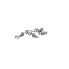 CC(C)(C)OC(=O)[C@@H](Cc1ccc(C23CCC(N)(CC2)CC3)cc1)[C@H]1CCN(C(=O)OC(C)(C)C)C1